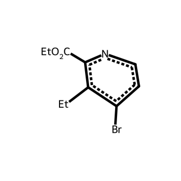 CCOC(=O)c1nccc(Br)c1CC